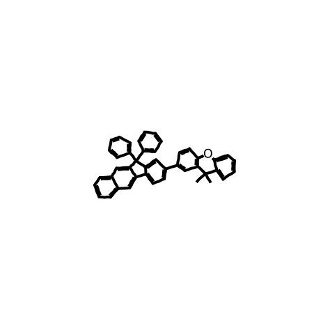 CC1(C)c2ccccc2Oc2ccc(-c3ccc4c(c3)C(c3ccccc3)(c3ccccc3)c3cc5ccccc5cc3-4)cc21